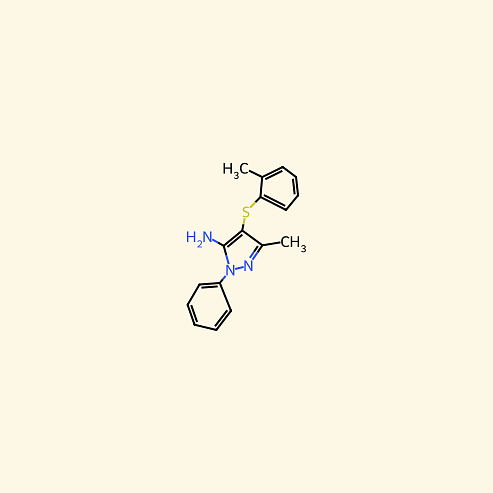 Cc1ccccc1Sc1c(C)nn(-c2ccccc2)c1N